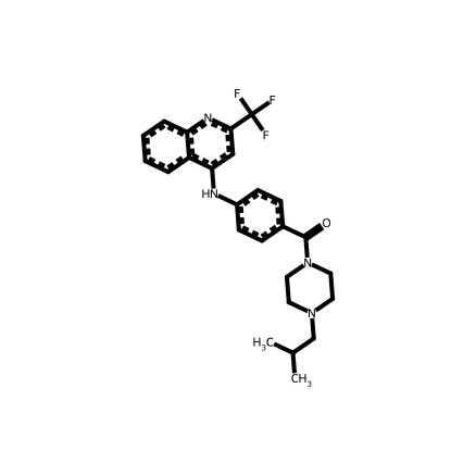 CC(C)CN1CCN(C(=O)c2ccc(Nc3cc(C(F)(F)F)nc4ccccc34)cc2)CC1